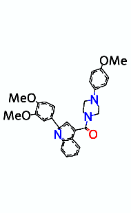 COc1ccc(N2CCN(C(=O)c3cc(-c4ccc(OC)c(OC)c4)nc4ccccc34)CC2)cc1